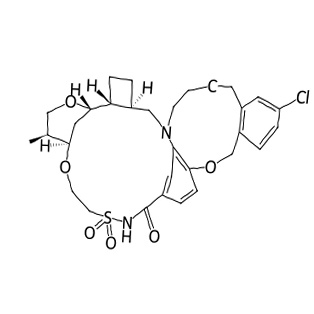 C[C@H]1CO[C@H]2C[C@H]1OCCS(=O)(=O)NC(=O)c1ccc3c(c1)N(CCCCc1cc(Cl)ccc1CO3)C[C@@H]1CC[C@H]12